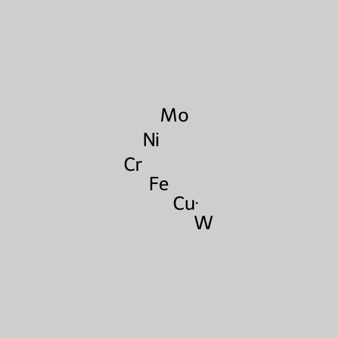 [Cr].[Cu].[Fe].[Mo].[Ni].[W]